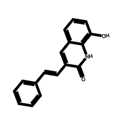 O=c1[nH]c2c(O)cccc2cc1C=Cc1ccccc1